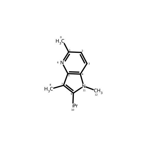 Cc1ccc2c(n1)c(C)c(C(C)C)n2C